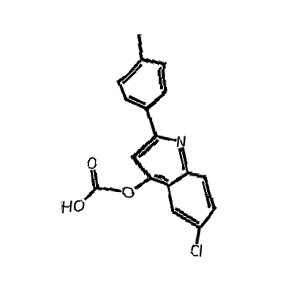 Cc1ccc(-c2cc(OC(=O)O)c3cc(Cl)ccc3n2)cc1